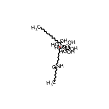 CCCCCCCCCCCCCC[C@@H](O)[C@@H](O)[C@H](CO[C@H]1O[C@H](CO)[C@H](O)[C@H](O)[C@H]1O)NC(=O)CCCCCCCCCNC(=O)CCCCCCCC